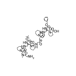 CN(CC(=O)N1CCCCC[C@H]1C(=O)NC[C@@H](NC(=O)OC(C)(C)C)C(=O)N1CCCC[C@H]1C(=O)NCC(=O)N(C)CC(=O)N1CCCCC[C@H]1C(=O)NC[C@@H](NC(=O)OCc1ccccc1)C(=O)N1CCCCC1C(=O)O)C(=O)CN